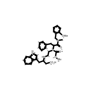 COc1ccccc1CN(C)C(=O)C(Cc1ccccc1)N(CCNC(CC(=O)O)Cc1c[nH]c2ccccc12)C(=O)OC(C)(C)C